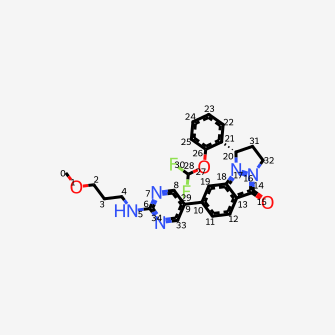 COCCCNc1ncc(-c2ccc3c(=O)n4n(c3c2)[C@H](c2ccccc2OC(F)F)CC4)cn1